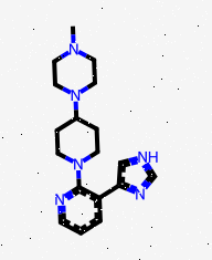 CN1CCN(C2CCN(c3ncccc3-c3c[nH]cn3)CC2)CC1